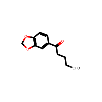 O=CCCCC(=O)c1ccc2c(c1)OCO2